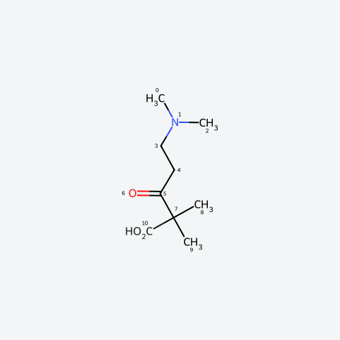 CN(C)CCC(=O)C(C)(C)C(=O)O